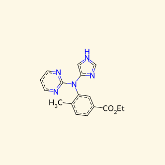 CCOC(=O)c1ccc(C)c(N(c2c[nH]cn2)c2ncccn2)c1